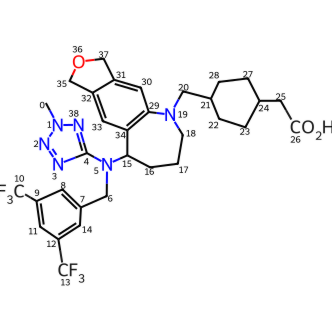 Cn1nnc(N(Cc2cc(C(F)(F)F)cc(C(F)(F)F)c2)C2CCCN(CC3CCC(CC(=O)O)CC3)c3cc4c(cc32)COC4)n1